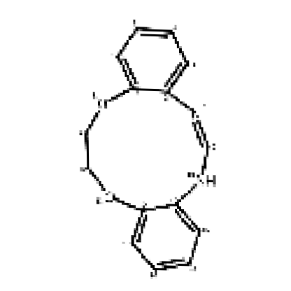 C1=N\c2ccccc2OCCOc2ccccc2N/1